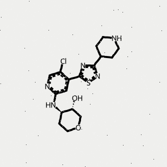 O[C@@H]1COCC[C@H]1Nc1cc(-c2nc(C3CCNCC3)ns2)c(Cl)cn1